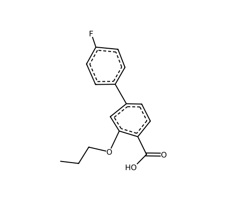 CCCOc1cc(-c2ccc(F)cc2)ccc1C(=O)O